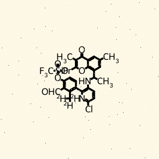 [2H]C([2H])([2H])c1c(-c2nc(Cl)ccc2NC(C)c2cc(C)cc3c(=O)c(C)c(C(C)C)oc23)ccc(OS(=O)(=O)C(F)(F)F)c1C=O